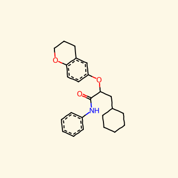 O=C(Nc1ccccc1)C(CC1CCCCC1)Oc1ccc2c(c1)CCCO2